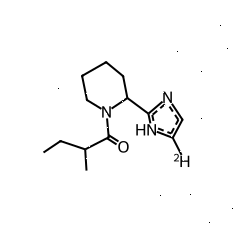 [2H]c1cnc(C2CCCCN2C(=O)C(C)CC)[nH]1